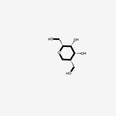 OC[C@@H]1CO[C@H](CO)[C@H](O)[C@@H]1O